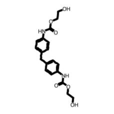 O=C(Nc1ccc(Cc2ccc(NC(=O)OCCO)cc2)cc1)OCCO